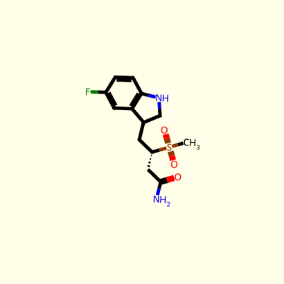 CS(=O)(=O)[C@H](CC(N)=O)CC1CNc2ccc(F)cc21